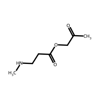 CNCCC(=O)OCC(C)=O